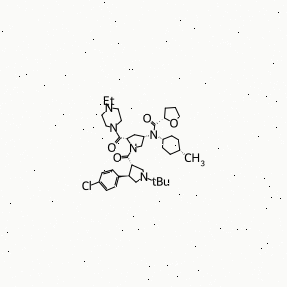 CCN1CCN(C(=O)[C@@H]2C[C@H](N(C(=O)[C@@H]3CCCO3)[C@H]3CC[C@@H](C)CC3)CN2C(=O)[C@@H]2CN(C(C)(C)C)C[C@H]2c2ccc(Cl)cc2)CC1